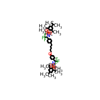 CC(C)c1cc(C(C)C)c(S(=O)(=O)O/N=C(/c2ccc(CCCCCOc3ccc(/C(=N/OS(=O)(=O)c4c(C(C)C)cc(C(C)C)cc4C(C)C)C(F)(F)F)cc3)cc2)C(F)(F)F)c(C(C)C)c1